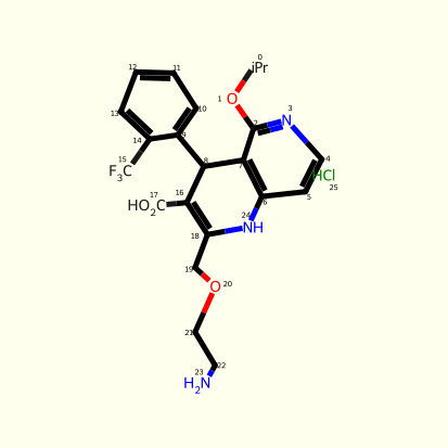 CC(C)Oc1nccc2c1C(c1ccccc1C(F)(F)F)C(C(=O)O)=C(COCCN)N2.Cl